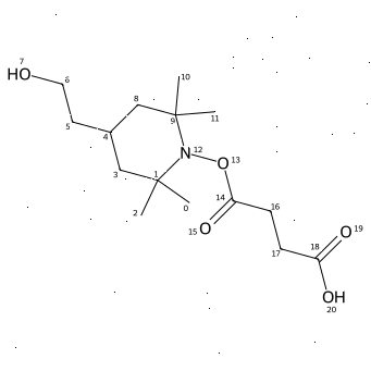 CC1(C)CC(CCO)CC(C)(C)N1OC(=O)CCC(=O)O